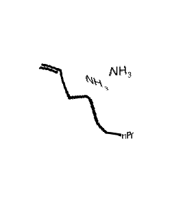 C=CCCCCCC.N.N